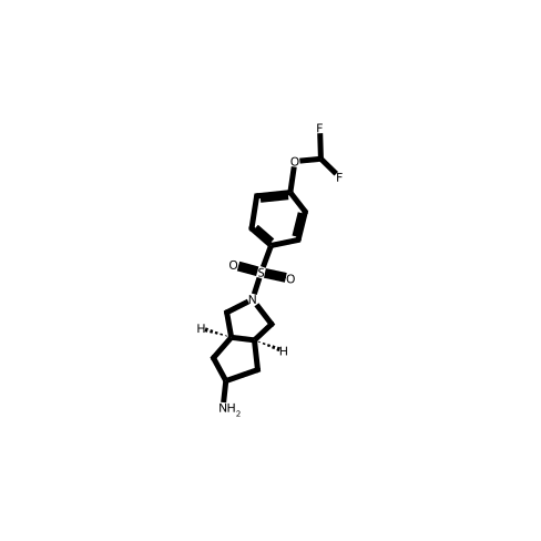 NC1C[C@@H]2CN(S(=O)(=O)c3ccc(OC(F)F)cc3)C[C@@H]2C1